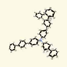 c1ccc(-c2ccc(-c3ccc(N(c4ccc(-c5ccccc5)cc4)c4ccc(-c5ccc(-c6ccccc6-c6ccccc6)cc5)cc4)cc3)cc2)cc1